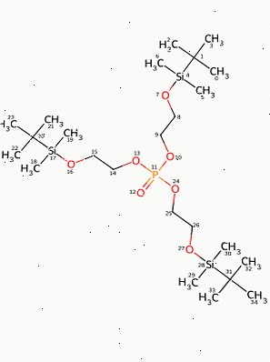 CC(C)(C)[Si](C)(C)OCCOP(=O)(OCCO[Si](C)(C)C(C)(C)C)OCCO[Si](C)(C)C(C)(C)C